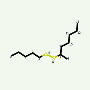 CCCCCSSC(C)CCCCC